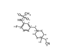 CS(=O)(=O)Nc1cc(CN2CCC(I)(CC#N)CC2)ccc1F